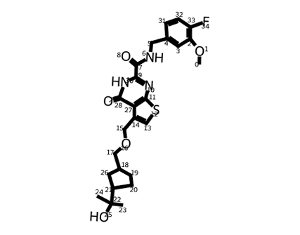 COc1cc(CNC(=O)c2nc3scc(COCC4CCC(C(C)(C)O)C4)c3c(=O)[nH]2)ccc1F